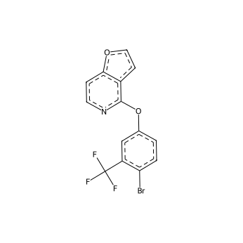 FC(F)(F)c1cc(Oc2nccc3occc23)ccc1Br